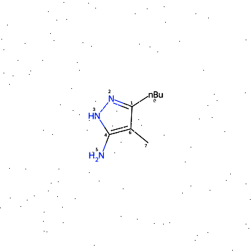 CCCCc1n[nH]c(N)c1C